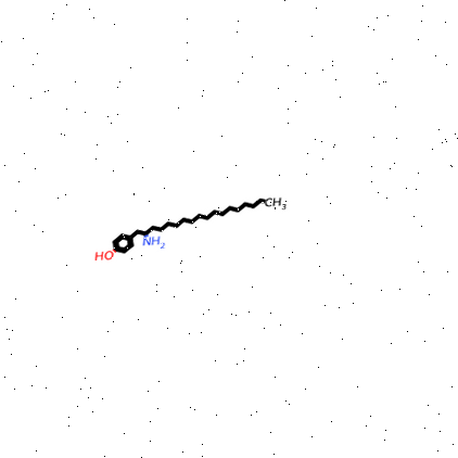 CCCCCCCCCCCCCCCCC(N)Cc1ccc(O)cc1